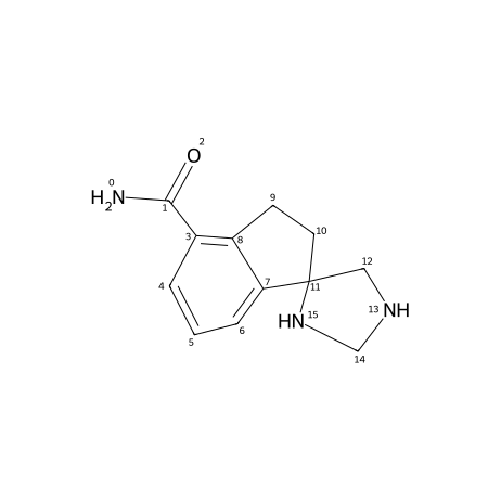 NC(=O)c1cccc2c1CCC21CNCN1